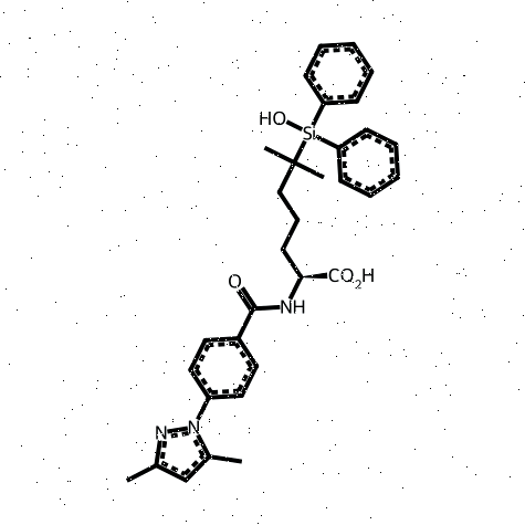 Cc1cc(C)n(-c2ccc(C(=O)N[C@@H](CCCC(C)(C)[Si](O)(c3ccccc3)c3ccccc3)C(=O)O)cc2)n1